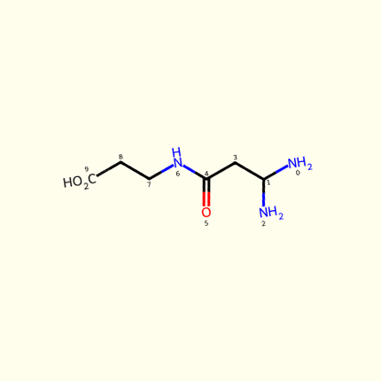 NC(N)CC(=O)NCCC(=O)O